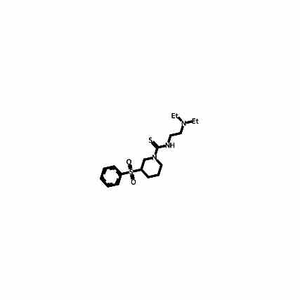 CCN(CC)CCNC(=S)N1CCCC(S(=O)(=O)c2ccccc2)C1